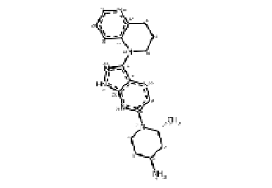 C[C@@H]1CC(N)CCN1c1cnc2c(N3CCCc4ncccc43)n[nH]c2n1